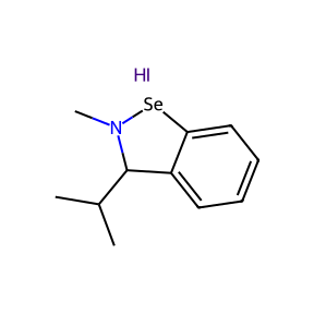 CC(C)C1c2ccccc2[Se]N1C.I